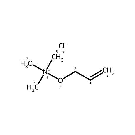 C=CCO[N+](C)(C)C.[Cl-]